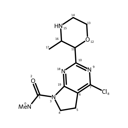 CNC(=O)N1CCc2c(Cl)nc(C3OCCNC3C)nc21